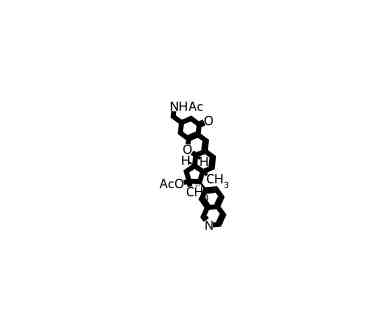 CC(=O)NCC1CC(=O)C2=C(C1)O[C@@H]1C(=C2)C=C[C@@]2(C)[C@H]1CC(C)(OC(C)=O)[C@@H]2c1ccc2ccncc2c1